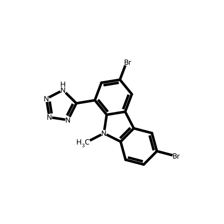 Cn1c2ccc(Br)cc2c2cc(Br)cc(-c3nnn[nH]3)c21